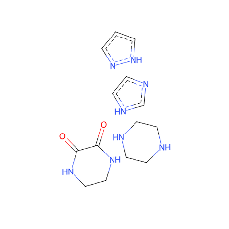 C1CNCCN1.O=C1NCCNC1=O.c1c[nH]cn1.c1cn[nH]c1